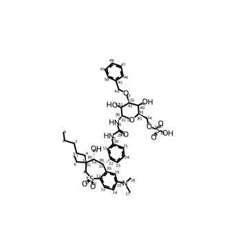 CCCCC[C@]1(CC)CS(=O)(=O)c2ccc(N(C)C)cc2[C@@H](c2cccc(NC(=O)N[C@@H]3O[C@H](COS(=O)(=O)O)C(O)[C@H](OCc4ccccc4)C3O)c2)[C@H]1O